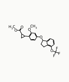 COC(=O)C1CC1c1ccc(OC2CCc3c(OC(F)(F)F)cccc32)cc1OC